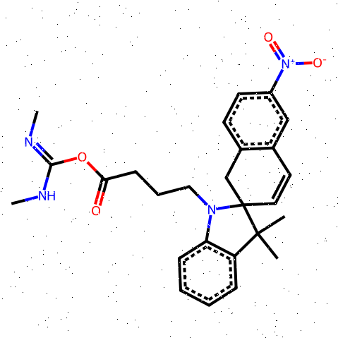 C/N=C(/NC)OC(=O)CCCN1c2ccccc2C(C)(C)C12C=Cc1cc([N+](=O)[O-])ccc1C2